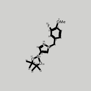 COc1ccc(Cn2cc(B3OC(C)(C)C(C)(C)O3)cn2)cc1F